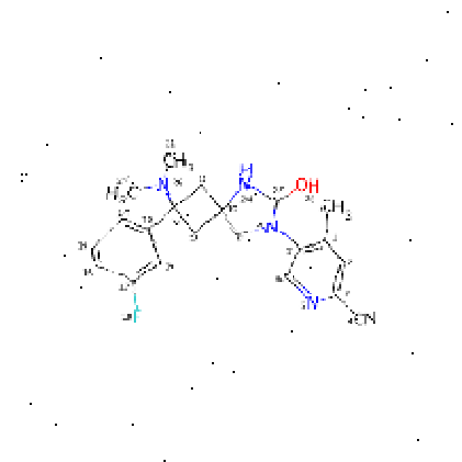 Cc1cc(C#N)ncc1N1C[C@]2(C[C@](c3cccc(F)c3)(N(C)C)C2)NC1O